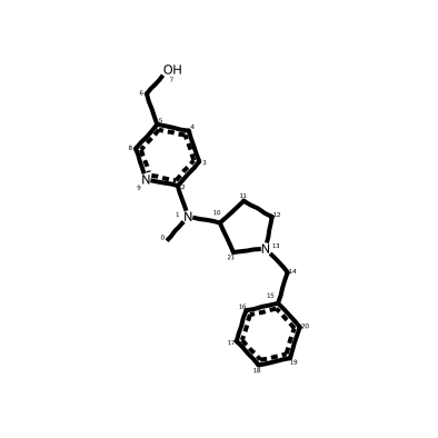 CN(c1ccc(CO)cn1)C1CCN(Cc2ccccc2)C1